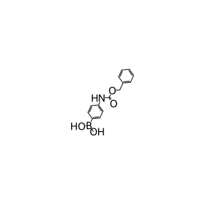 O=C(Nc1ccc(B(O)O)cc1)OCc1ccccc1